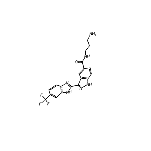 NCCCNC(=O)c1ccc2[nH]nc(-c3nc4ccc(C(F)(F)F)cc4[nH]3)c2c1